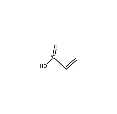 C=C[13C](=O)O